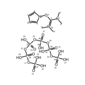 CN(C)C(On1ccnc1)=[N+](C)C.O=P(O)(O)OP(=O)(O)OP(=O)(O)OP(=O)(O)OP(=O)(O)OP(=O)(O)O